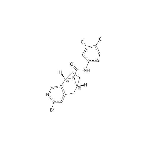 O=C(Nc1ccc(Cl)c(Cl)c1)N1[C@@H]2CC[C@H]1c1cnc(Br)cc1C2